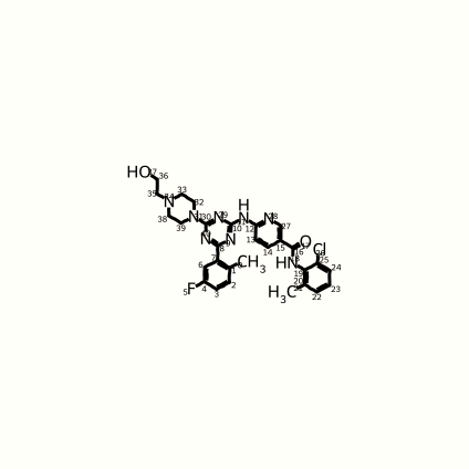 Cc1ccc(F)cc1-c1nc(Nc2ccc(C(=O)Nc3c(C)cccc3Cl)cn2)nc(N2CCN(CCO)CC2)n1